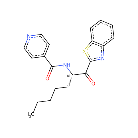 CCCCC[C@H](NC(=O)c1ccncc1)C(=O)c1nc2ccccc2s1